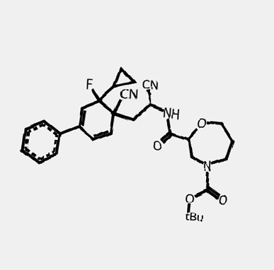 CC(C)(C)OC(=O)N1CCCOC(C(=O)N[C@H](C#N)CC2(C#N)C=CC(c3ccccc3)=CC2(F)C2CC2)C1